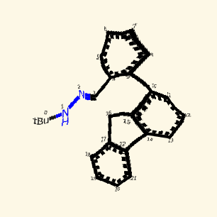 CC(C)(C)NN=Cc1ccccc1-c1cccc2c1Cc1ccccc1-2